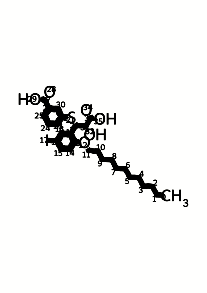 CCCCCCCCCCCCOc1ccc(I)cc1C(Sc1cccc(C(=O)O)c1)C(O)C(=O)O